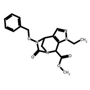 CCn1ncc2c1C(C(=O)OC)N1CC2N(OCc2ccccc2)C1=O